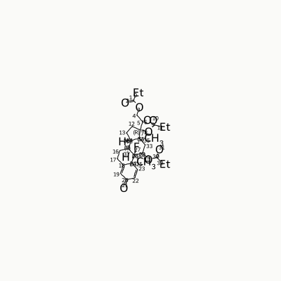 CCC(=O)OCC(=O)[C@@]1(OC(=O)CC)CC[C@H]2[C@@H]3CCC4=CC(=O)C=C[C@]4(C)[C@@]3(F)[C@@H](OC(=O)CC)C[C@@]21C